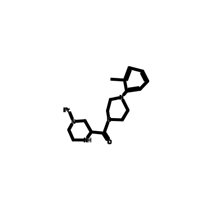 Cc1ccccc1N1CCN(C(=O)C2CN(C(C)C)CCN2)CC1